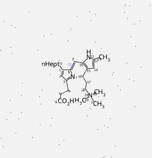 CCCCCCCC1=CC(CCC(=O)O)=N/C1=C\c1[nH]c(C)cc1CCC[N+](C)(C)C